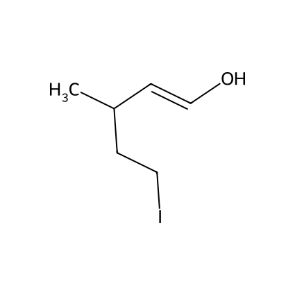 CC(C=CO)CCI